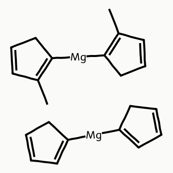 C1=CC[C]([Mg][C]2=CC=CC2)=C1.CC1=[C]([Mg][C]2=C(C)C=CC2)CC=C1